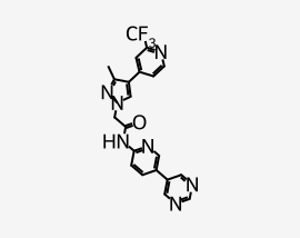 Cc1nn(CC(=O)Nc2ccc(-c3cncnc3)cn2)cc1-c1ccnc(C(F)(F)F)c1